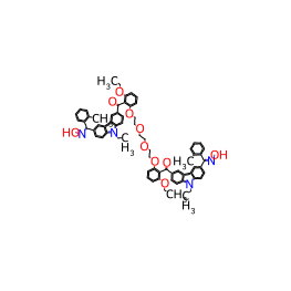 CCOc1cccc(OCCOCCOCCOc2cccc(OCC)c2C(=O)c2ccc3c(c2)c2cc(/C(=N/O)c4ccccc4C)ccc2n3CC)c1C(=O)c1ccc2c(c1)c1cc(/C(=N/O)c3ccccc3C)ccc1n2CC